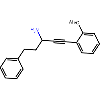 COc1ccccc1C#CC(N)CCc1ccccc1